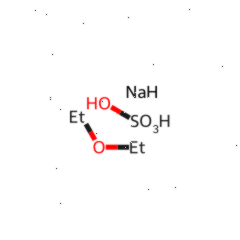 CCOCC.O=S(=O)(O)O.[NaH]